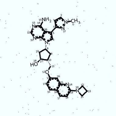 Cn1ccc(-c2cn([C@@H]3C[C@H](COc4ccc5ccc(N6CCC6)nc5c4)[C@@H](O)C3)c3ncnc(N)c23)n1